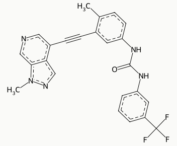 Cc1ccc(NC(=O)Nc2cccc(C(F)(F)F)c2)cc1C#Cc1cncc2c1cnn2C